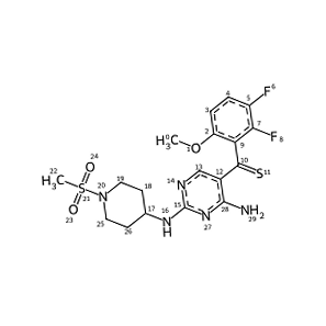 COc1ccc(F)c(F)c1C(=S)c1cnc(NC2CCN(S(C)(=O)=O)CC2)nc1N